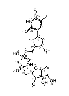 Cc1cn([C@H]2C[C@H](O)[C@@H](COP(=O)(O)OP(=O)(O)OC3O[C@@H](C)[C@](O)(CO)[C@H]3O)O2)c(=O)[nH]c1=O